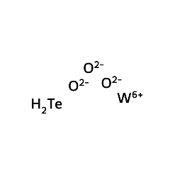 [O-2].[O-2].[O-2].[TeH2].[W+6]